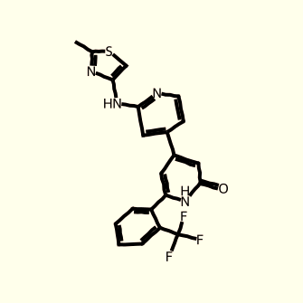 Cc1nc(Nc2cc(-c3cc(-c4ccccc4C(F)(F)F)[nH]c(=O)c3)ccn2)cs1